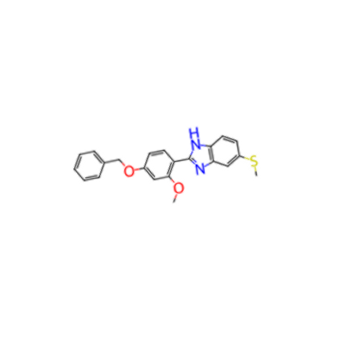 COc1cc(OCc2ccccc2)ccc1-c1nc2cc(SC)ccc2[nH]1